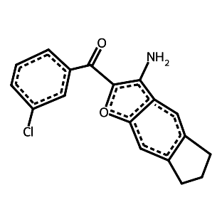 Nc1c(C(=O)c2cccc(Cl)c2)oc2cc3c(cc12)CCC3